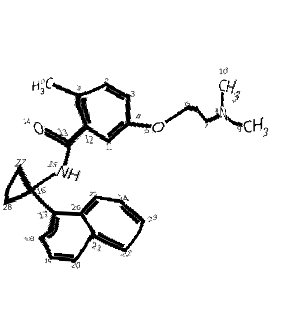 Cc1ccc(OCCN(C)C)cc1C(=O)NC1(c2cccc3ccccc23)CC1